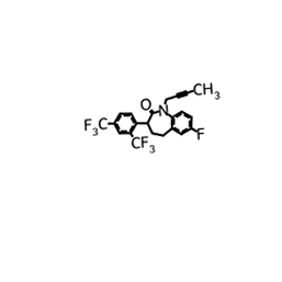 CC#CCN1C(=O)C(c2ccc(C(F)(F)F)cc2C(F)(F)F)CCc2cc(F)ccc21